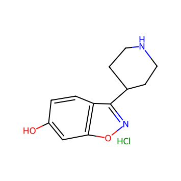 Cl.Oc1ccc2c(C3CCNCC3)noc2c1